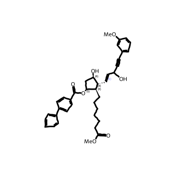 COC(=O)CCCCCC[C@@H]1[C@@H](/C=C/C(O)C#Cc2cccc(OC)c2)[C@H](O)C[C@@H]1OC(=O)c1ccc(-c2ccccc2)cc1